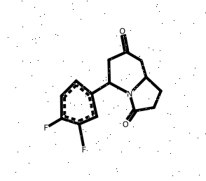 O=C1CC2CCC(=O)N2C(c2ccc(F)c(F)c2)C1